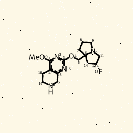 COc1nc(OCC23CCCN2C[C@H](F)C3)nc2c1CCNC2